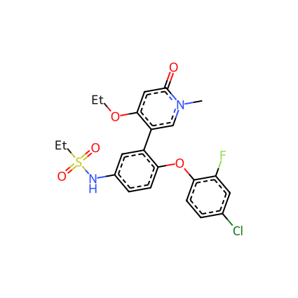 CCOc1cc(=O)n(C)cc1-c1cc(NS(=O)(=O)CC)ccc1Oc1ccc(Cl)cc1F